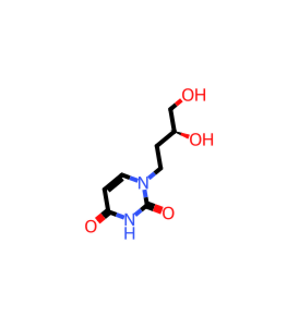 O=c1ccn(CC[C@H](O)CO)c(=O)[nH]1